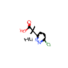 CC(C)(C(=O)O)c1ccc(Cl)nn1.[LiH]